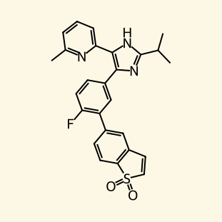 Cc1cccc(-c2[nH]c(C(C)C)nc2-c2ccc(F)c(-c3ccc4c(c3)C=CS4(=O)=O)c2)n1